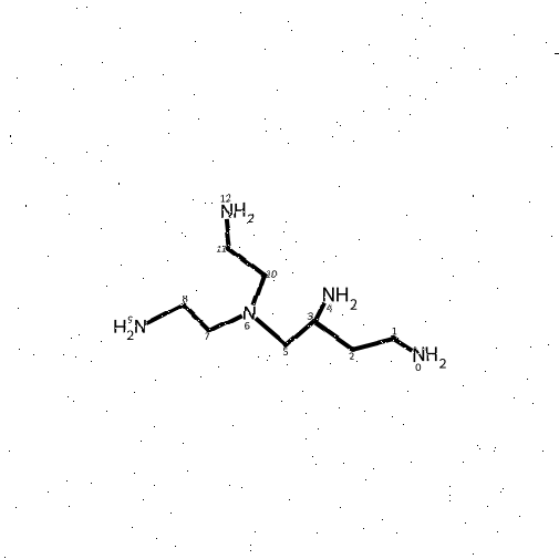 NCCC(N)CN(CCN)CCN